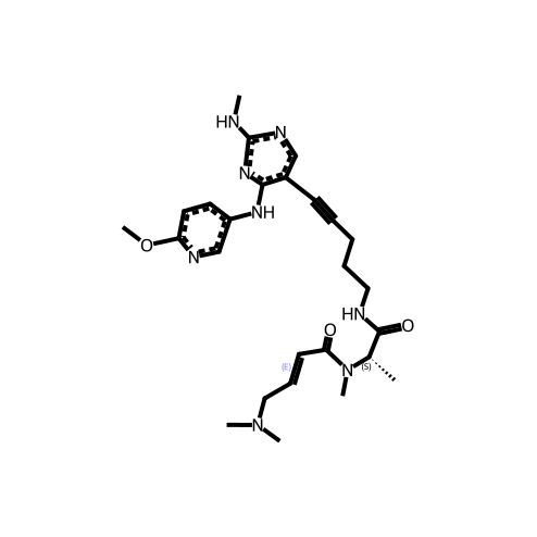 CNc1ncc(C#CCCCNC(=O)[C@H](C)N(C)C(=O)/C=C/CN(C)C)c(Nc2ccc(OC)nc2)n1